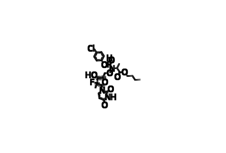 CCCCOC(=O)C(C)N(OC[C@H]1O[C@@H](n2ccc(=O)[nH]c2=O)[C@](C)(F)[C@@H]1O)[PH](=O)Oc1ccc(Cl)cc1